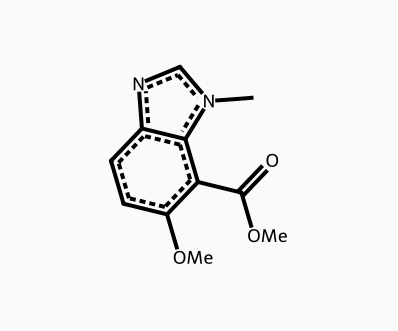 COC(=O)c1c(OC)ccc2ncn(C)c12